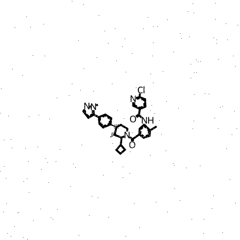 Cc1ccc(C(=O)N2CC[C@H](c3ccc(-c4ccnn4C)cc3)[C@@H](C)C2C2CCC2)cc1NC(=O)c1ccc(Cl)nc1